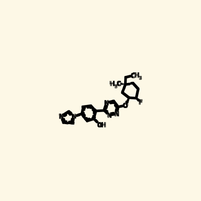 CC[C@@]1(C)CC[C@@H](F)[C@@H](Oc2cnc(-c3ccc(-n4ccnc4)cc3O)nn2)C1